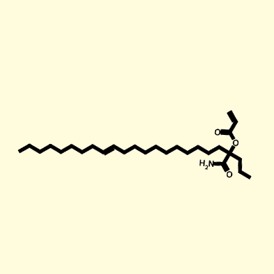 C=CC(=O)OC(CCC)(CCCCCCCCCCC=CCCCCCCCC)C(N)=O